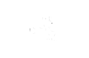 Br.Oc1cc2c(cc1O)[C@H]1c3cc(-c4ccccc4)sc3CN[C@@H]1CC2